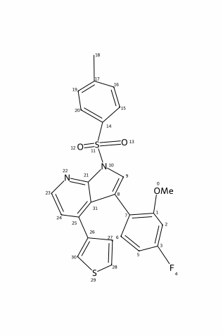 COc1cc(F)ccc1-c1cn(S(=O)(=O)c2ccc(C)cc2)c2nccc(-c3ccsc3)c12